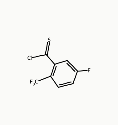 Fc1ccc(C(F)(F)F)c(C(=S)Cl)c1